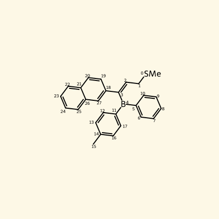 CSC/C=C(\B(c1ccccc1)c1ccc(C)cc1)c1ccc2ccccc2c1